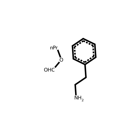 CCCOC=O.NCCc1ccccc1